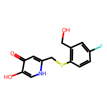 O=c1cc(CSc2ccc(F)cc2CO)[nH]cc1O